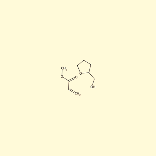 C=CC(=O)OC.OCC1CCCO1